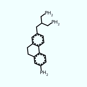 PCC(CP)Cc1ccc2c(c1)CCc1cc(P)ccc1-2